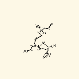 CCOP(=O)(O)OCC[N+](CCO)(CCO)CCO